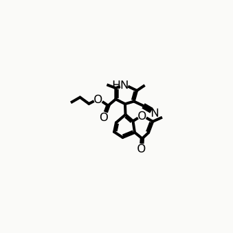 CCCOC(=O)C1=C(C)NC(C)=C(C#N)C1c1cccc2c(=O)cc(C)oc12